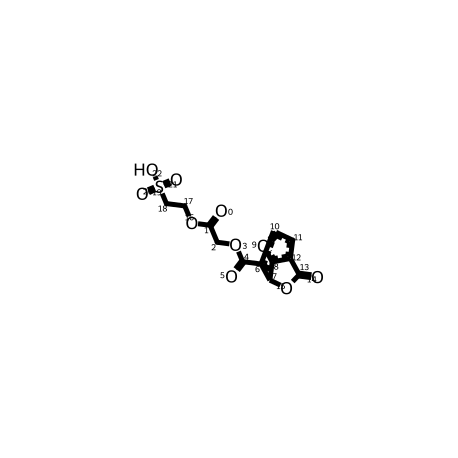 O=C(COC(=O)c1c2c3oc1cc3C(=O)O2)OCCS(=O)(=O)O